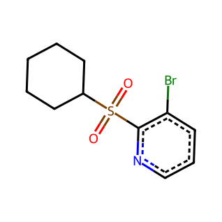 O=S(=O)(c1ncccc1Br)C1CCCCC1